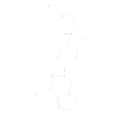 CN1CCC(O)(c2ccc(C3=Cn4cccc4C(C=O)N3)cc2)CC1